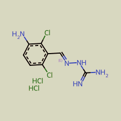 Cl.Cl.N=C(N)N/N=C/c1c(Cl)ccc(N)c1Cl